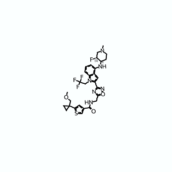 COCC1(c2cc(C(=O)NCc3nc(-c4cc5c(N[C@@H]6CCN(C)C[C@@H]6F)cccc5n4CC(F)(F)F)no3)cs2)CC1